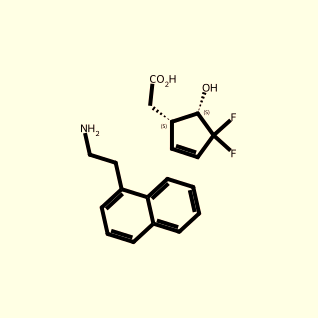 NCCc1cccc2ccccc12.O=C(O)C[C@H]1C=CC(F)(F)[C@H]1O